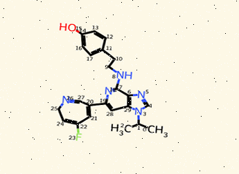 CC(C)n1cnc2c(NCCc3ccc(O)cc3)nc(C3=CC(F)=CCN=C3)cc21